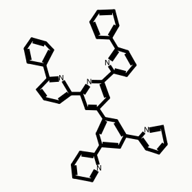 c1ccc(-c2cccc(-c3cc(-c4cc(-c5ccccn5)cc(-c5ccccn5)c4)cc(-c4cccc(-c5ccccc5)n4)n3)n2)cc1